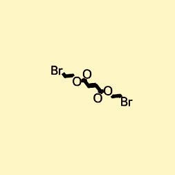 O=C(C=CC(=O)OCCBr)OCCBr